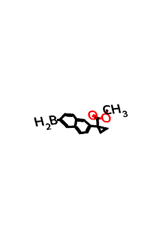 Bc1ccc2cc(C3(C(=O)OC)CC3)ccc2c1